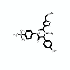 COCc1cc(C(=O)N(C)C(C(=O)Nc2ccc(S(C)(C)C)cc2)c2ccc(OC)cc2)no1